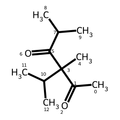 CC(=O)C(C)(C(=O)C(C)C)C(C)C